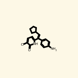 Nc1ccc(C(=CC2CCCC2)c2ccc(Cl)c(=O)[nH]2)cc1